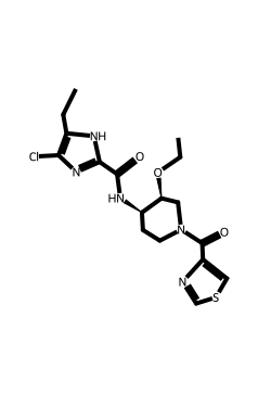 CCO[C@H]1CN(C(=O)c2cscn2)CC[C@H]1NC(=O)c1nc(Cl)c(CC)[nH]1